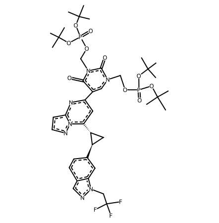 CC(C)(C)OP(=O)(OCn1cc(-c2cc([C@@H]3C[C@H]3c3ccc4cnn(CC(F)(F)F)c4c3)n3nccc3n2)c(=O)n(COP(=O)(OC(C)(C)C)OC(C)(C)C)c1=O)OC(C)(C)C